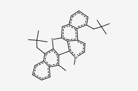 Cc1c2c(c(CC(C)(C)C)c3ccccc13)Sc1cc3cccc(CC(C)(C)C)c3c3cc[n+](C)c-2c13